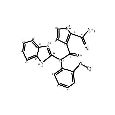 CCOc1ccccc1N(C(=O)c1nc[nH]c1C(N)=O)c1nc2ccccc2[nH]1